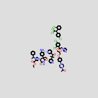 CC(=O)N1CCN(c2ccc(OCC3COC(Cn4ccnc4)(c4ccc(Cl)cc4Cl)O3)cc2)CC1.CC(C)(C(=O)c1cccnc1)c1cccnc1.CCC1(c2ccc(N)cc2)CCC(=O)NC1=O.CCOC(=O)c1cncn1C(C)c1ccccc1.Clc1ccc(C(c2ccccc2Cl)C(Cl)Cl)cc1